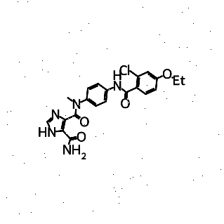 CCOc1ccc(C(=O)Nc2ccc(N(C)C(=O)c3nc[nH]c3C(N)=O)cc2)c(Cl)c1